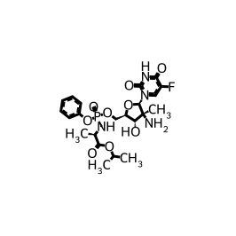 CC(C)OC(=O)[C@@H](C)N[P@@](=O)(OC[C@H]1O[C@@H](n2cc(F)c(=O)[nH]c2=O)[C@](C)(N)[C@@H]1O)Oc1ccccc1